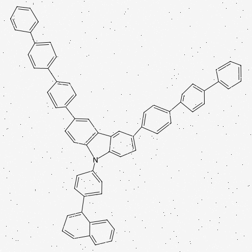 c1ccc(-c2ccc(-c3ccc(-c4ccc5c(c4)c4cc(-c6ccc(-c7ccc(-c8ccccc8)cc7)cc6)ccc4n5-c4ccc(-c5cccc6ccccc56)cc4)cc3)cc2)cc1